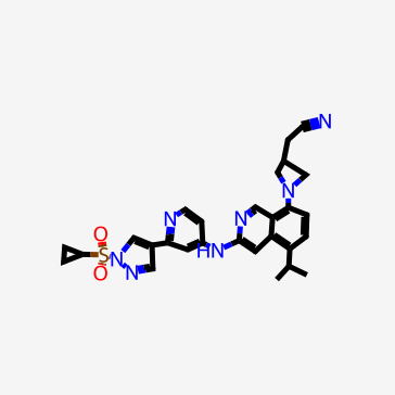 CC(C)c1ccc(N2CC(CC#N)C2)c2cnc(Nc3ccnc(-c4cnn(S(=O)(=O)C5CC5)c4)c3)cc12